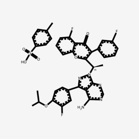 CC(C)Oc1ccc(-c2nn([C@H](C)c3oc4cccc(F)c4c(=O)c3-c3cccc(F)c3)c3ncnc(N)c23)cc1F.Cc1ccc(S(=O)(=O)O)cc1